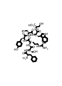 CC(C)C[C@H](NC(=O)[C@H](Cc1ccc(O)cc1)NC(=O)[C@H](CCCNC(=N)N)NC(=O)[C@H](CO)NC(=O)[C@@H](N)Cc1ccccc1)C(=O)N[C@@H](Cc1c[nH]c2ccccc12)C(=O)N[C@@H](CO)C(=O)O